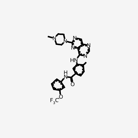 Cc1ccc(C(=O)Nc2cccc(OC(F)(F)F)c2)cc1Nc1ncnc2cnc(N3CCN(C)CC3)nc12